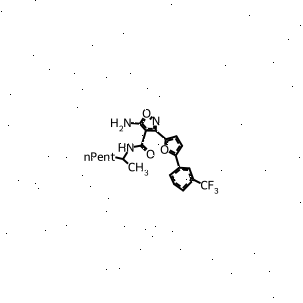 CCCCCC(C)NC(=O)c1c(-c2ccc(-c3cccc(C(F)(F)F)c3)o2)noc1N